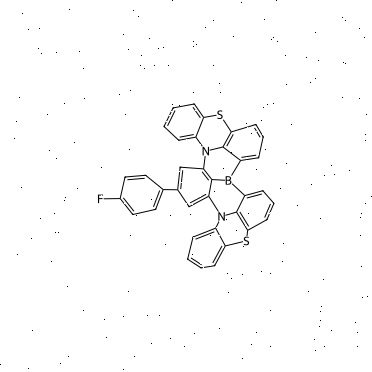 Fc1ccc(-c2cc3c4c(c2)N2c5ccccc5Sc5cccc(c52)B4c2cccc4c2N3c2ccccc2S4)cc1